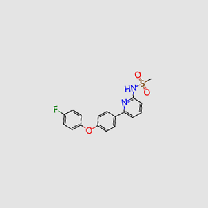 CS(=O)(=O)Nc1cccc(-c2ccc(Oc3ccc(F)cc3)cc2)n1